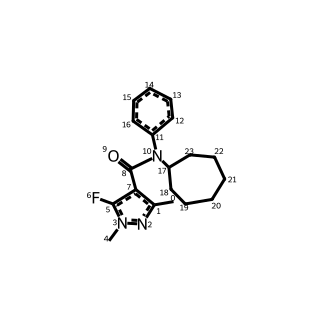 Cc1nn(C)c(F)c1C(=O)N(c1ccccc1)C1CCCCCC1